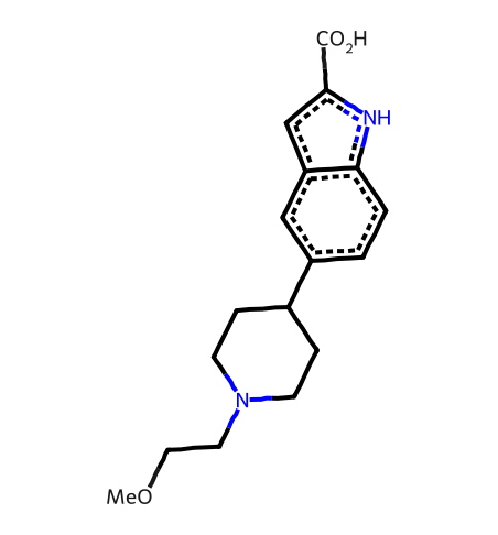 COCCN1CCC(c2ccc3[nH]c(C(=O)O)cc3c2)CC1